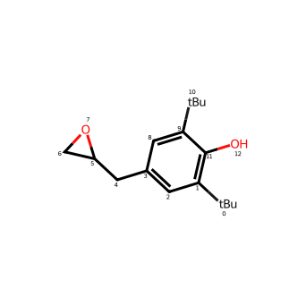 CC(C)(C)c1cc(CC2CO2)cc(C(C)(C)C)c1O